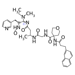 CCN(C)/C(=N/C(=O)CC(C)NC(=O)CNC(=O)C1(NC(=O)CCc2ccc3ccccc3c2)CCOCC1)[C@H](Cc1cccnc1)NC=O